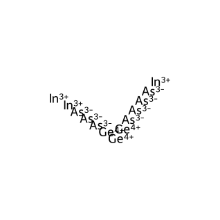 [As-3].[As-3].[As-3].[As-3].[As-3].[As-3].[As-3].[Ge+4].[Ge+4].[Ge+4].[In+3].[In+3].[In+3]